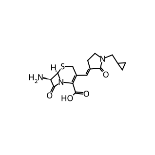 N[C@@H]1C(=O)N2C(C(=O)O)=C(/C=C3\CCN(CC4CC4)C3=O)CS[C@H]12